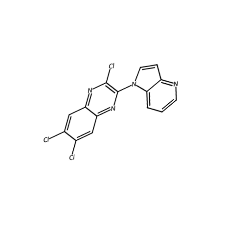 Clc1cc2nc(Cl)c(-n3ccc4ncccc43)nc2cc1Cl